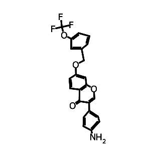 Nc1ccc(-c2coc3cc(OCc4cccc(OC(F)(F)F)c4)ccc3c2=O)cc1